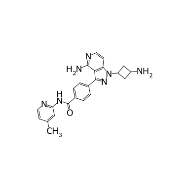 Cc1ccnc(NC(=O)c2ccc(-c3nn(C4CC(N)C4)c4ccnc(N)c34)cc2)c1